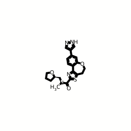 CN(C[C@H]1CCCO1)C(=O)c1nc2c(s1)CCOc1cc(-c3cn[nH]c3)ccc1-2